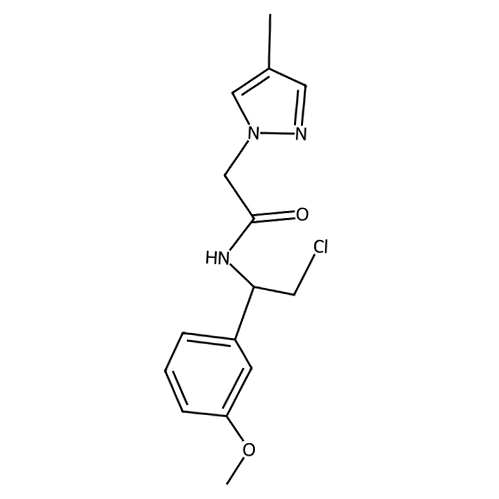 COc1cccc(C(CCl)NC(=O)Cn2cc(C)cn2)c1